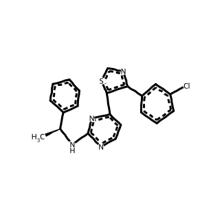 C[C@H](Nc1nccc(-c2scnc2-c2cccc(Cl)c2)n1)c1ccccc1